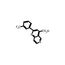 O=C(O)c1cc(-c2cccc(C(F)(F)F)c2)nc2ccncc12